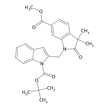 COC(=O)c1ccc2c(c1)N(Cc1cc3ccccc3n1C(=O)OC(C)(C)C)C(=O)C2(C)C